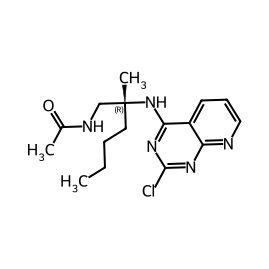 CCCC[C@](C)(CNC(C)=O)Nc1nc(Cl)nc2ncccc12